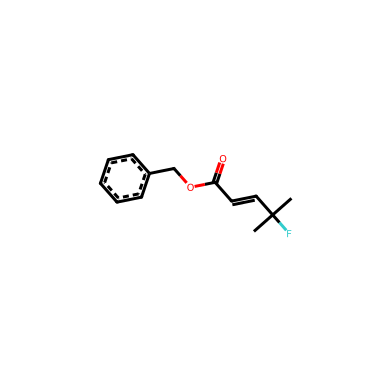 CC(C)(F)/C=C/C(=O)OCc1ccccc1